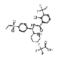 CCS(=O)(=O)c1ccc(C(NC(=O)c2cccc(C(F)(F)F)c2Cl)C2CCCCN2)cc1.O=C(O)C(F)(F)F